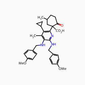 COc1ccc(CNc2nc(C3(C(=O)O)CC(C)CCC3=O)c(C3CC3)c(C)c2NCc2ccc(OC)cc2)cc1